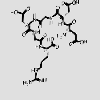 N=C(N)NCCC[C@H](NC(=O)CNC(=O)[C@H](CC(=O)O)NC(=O)CNC(=O)[C@H](CC(=O)O)NC(=O)[C@@H](N)CC(=O)O)C(=O)O